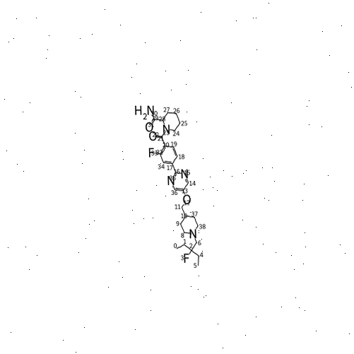 CCC(F)(CC)CN1CCC(COc2cnc(-c3ccc(C(=O)N4CCCCC4C(N)=O)c(F)c3)nc2)CC1